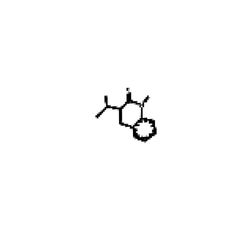 CC(C)C1Cc2ccccc2N(C)C1=S